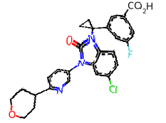 O=C(O)c1cc(F)cc(C2(n3c(=O)n(-c4ccc(C5CCOCC5)nc4)c4cc(Cl)ccc43)CC2)c1